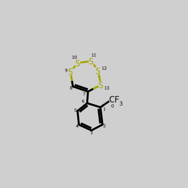 FC(F)(F)c1ccccc1C1=CSSSSS1